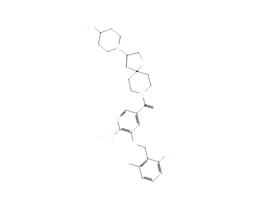 Nc1ncc(C(=O)N2CCC3(CC2)CC(N2CCC(O)CC2)CO3)cc1OCc1c(Cl)cccc1Cl